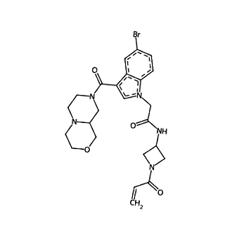 C=CC(=O)N1CC(NC(=O)Cn2cc(C(=O)N3CCN4CCOCC4C3)c3cc(Br)ccc32)C1